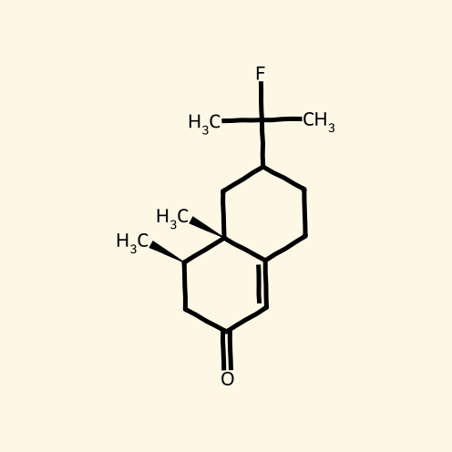 C[C@@H]1CC(=O)C=C2CCC(C(C)(C)F)C[C@]21C